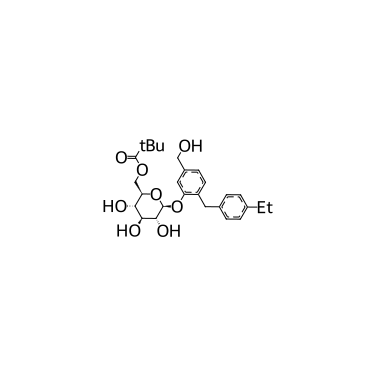 CCc1ccc(Cc2ccc(CO)cc2O[C@@H]2O[C@H](COC(=O)C(C)(C)C)[C@@H](O)[C@H](O)[C@H]2O)cc1